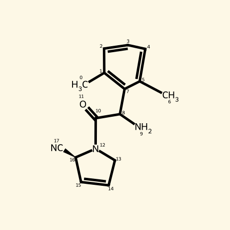 Cc1cccc(C)c1C(N)C(=O)N1CC=C[C@H]1C#N